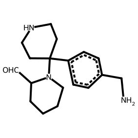 NCc1ccc(C2(N3CCCCC3C=O)CCNCC2)cc1